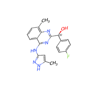 Cc1cc(Nc2nc([C@@H](O)c3ccc(F)cc3)nc3c(C)cccc23)n[nH]1